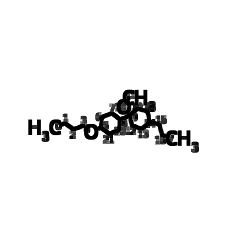 CCCCOC1CCC(C2(OC)CCC(CCC)CC2)CC1